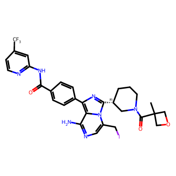 CC1(C(=O)N2CCC[C@@H](c3nc(-c4ccc(C(=O)Nc5cc(C(F)(F)F)ccn5)cc4)c4c(N)ncc(CI)n34)C2)COC1